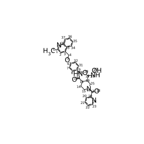 Cc1cc(COc2ccc(NC(=O)C3CCN(C(=O)c4ccccn4)C[C@@H]3C(=O)NO)cc2)c2ccccc2n1